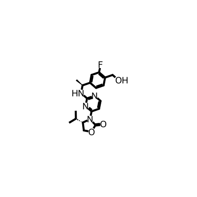 CC(C)[C@H]1COC(=O)N1c1ccnc(N[C@@H](C)c2ccc(CO)c(F)c2)n1